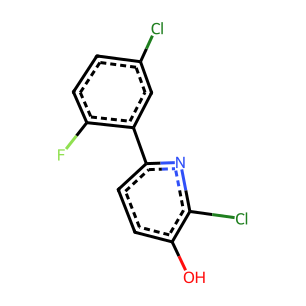 Oc1ccc(-c2cc(Cl)ccc2F)nc1Cl